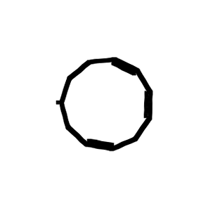 [CH]1CC=CCC=CC=CCC1